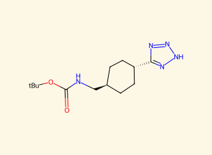 CC(C)(C)OC(=O)NC[C@H]1CC[C@H](c2nn[nH]n2)CC1